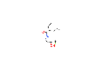 CCCC(CC)C(=O)N1CCC(O)(C(F)(F)F)C1